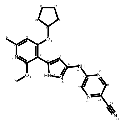 COc1nc(C)cc(OC2CCCC2)c1-c1cc(Nc2cnc(C#N)cn2)n[nH]1